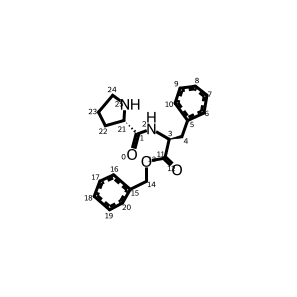 O=C(N[C@@H](Cc1ccccc1)C(=O)OCc1ccccc1)[C@@H]1CCCN1